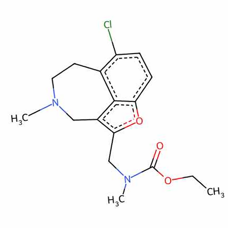 CCOC(=O)N(C)Cc1oc2ccc(Cl)c3c2c1CN(C)CC3